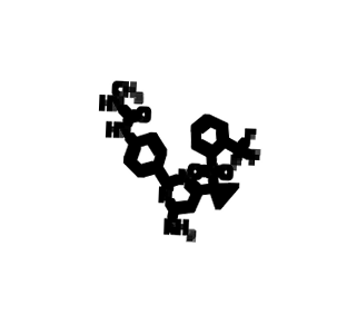 CNC(=O)Nc1ccc(-c2nc(N)cc(C3(S(=O)(=O)c4ccccc4C(F)(F)F)CC3)n2)cc1